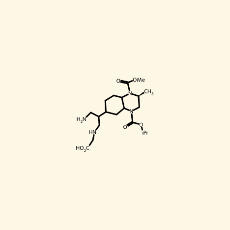 COC(=O)N1C2CCC(C(CN)CNCC(=O)O)CC2N(C(=O)OC(C)C)C[C@@H]1C